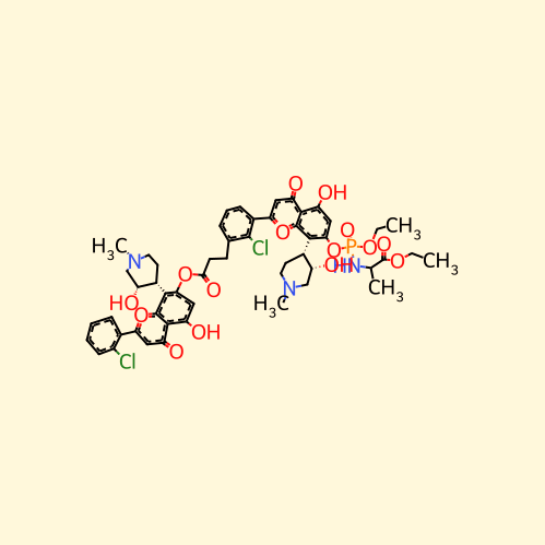 CCOC(=O)C(C)NP(=O)(OCC)Oc1cc(O)c2c(=O)cc(-c3cccc(CCC(=O)Oc4cc(O)c5c(=O)cc(-c6ccccc6Cl)oc5c4[C@H]4CCN(C)C[C@H]4O)c3Cl)oc2c1[C@H]1CCN(C)C[C@H]1O